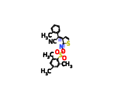 Cc1cc(C)c(S(=O)(=O)O/N=C2\SC=C\C2=C(\C#N)c2ccccc2C)c(C)c1